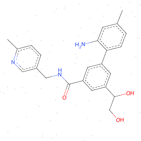 Cc1ccc(-c2cc(C(=O)NCc3ccc(C)nc3)cc(C(O)CO)c2)c(N)c1